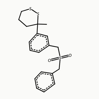 CC1(c2cccc(CS(=O)(=O)Cc3ccccc3)c2)CCCSS1